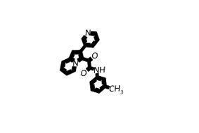 Cc1cccc(NC(=O)C(=O)c2c(-c3cccnc3)cc3ccccn23)c1